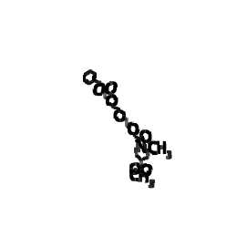 COC(=O)C1CCN(C(=O)COCCOCCOCC(=O)OCc2ccccc2)C(C)C1